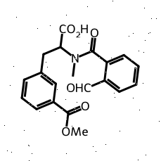 COC(=O)c1cccc(CC(C(=O)O)N(C)C(=O)c2ccccc2C=O)c1